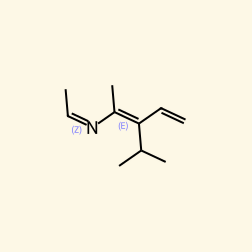 C=C/C(=C(C)/N=C\C)C(C)C